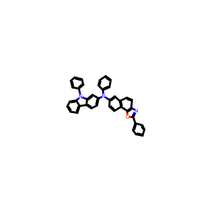 c1ccc(-c2nc3ccc4cc(N(c5ccccc5)c5ccc6c7ccccc7n(-c7ccccc7)c6c5)ccc4c3o2)cc1